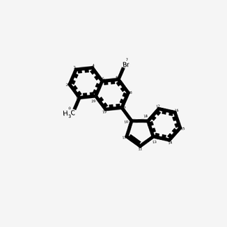 Cc1cccc2c(Br)cc(C3C=Cc4ccccc43)cc12